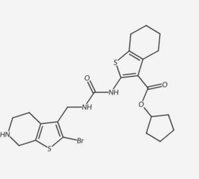 O=C(NCc1c(Br)sc2c1CCNC2)Nc1sc2c(c1C(=O)OC1CCCC1)CCCC2